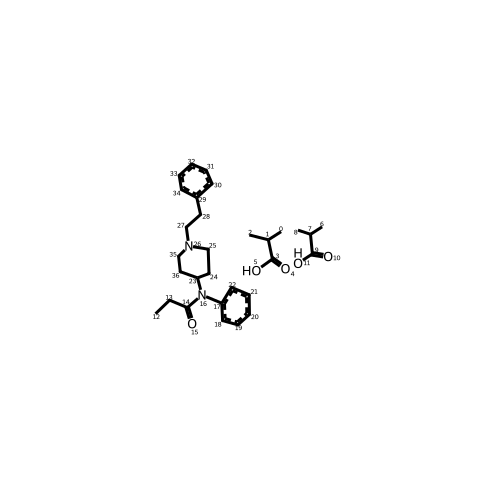 CC(C)C(=O)O.CC(C)C(=O)O.CCC(=O)N(c1ccccc1)C1CCN(CCc2ccccc2)CC1